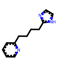 [CH](CCCc1ncc[nH]1)c1ccccn1